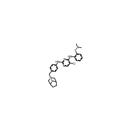 CN(C)Sc1ccccc1Nc1nc(Nc2ccc(CN3CC4CCC(C3)N4C)cc2)ncc1Cl